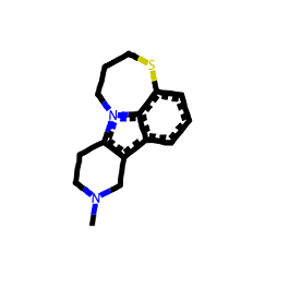 CN1CCc2c(c3cccc4c3n2CCCS4)C1